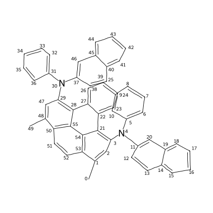 Cc1cc(N(c2ccccc2)c2ccc3ccccc3c2)c2c3ccccc3c3c(N(c4ccccc4)c4ccc5ccccc5c4)cc(C)c4ccc1c2c43